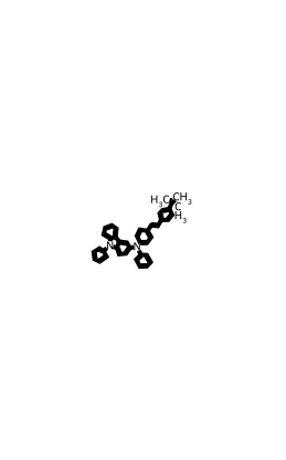 CC(C)(C)c1ccc(/C=C/c2ccc(N(c3ccccc3)c3ccc4c(c3)c3ccccc3n4-c3ccccc3)cc2)cc1